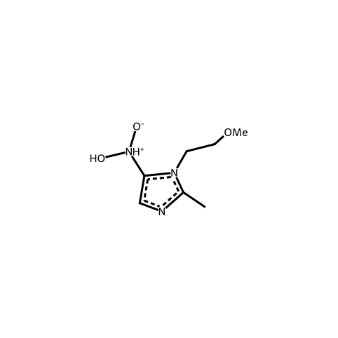 COCCn1c([NH+]([O-])O)cnc1C